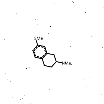 CNC1CCc2ccc(SC)cc2C1